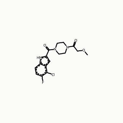 COCC(=O)N1CCN(C(=O)c2cc3c(Cl)c(F)ccc3[nH]2)CC1